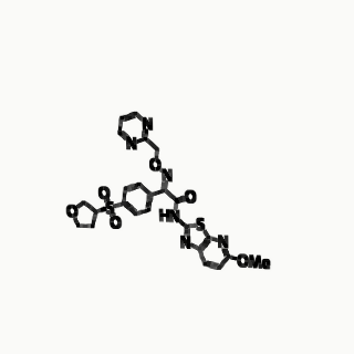 COc1ccc2nc(NC(=O)/C(=N/OCc3ncccn3)c3ccc(S(=O)(=O)[C@H]4CCOC4)cc3)sc2n1